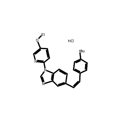 CCOc1ccc(-n2cnc3cc(/C=C\c4ccc(C(C)(C)C)cc4)ccc32)nc1.Cl